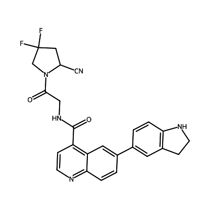 N#CC1CC(F)(F)CN1C(=O)CNC(=O)c1ccnc2ccc(-c3ccc4c(c3)CCN4)cc12